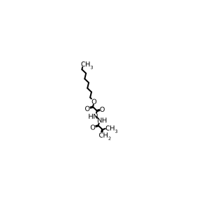 C=C(C)C(=O)NNC(=O)C(=O)OCCCCCCCC